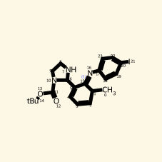 CC1C=CC=C(C2NCCN2C(=O)OC(C)(C)C)/C1=N/c1ccc(I)cc1